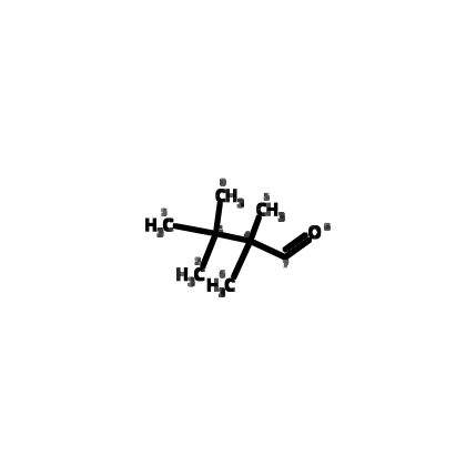 CC(C)(C)C(C)(C)C=O